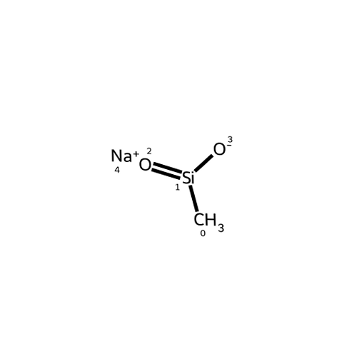 C[Si](=O)[O-].[Na+]